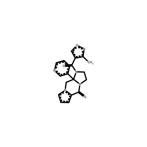 Cc1nocc1C(=O)N1CCN2C(=O)c3cccn3CC12c1cccnc1